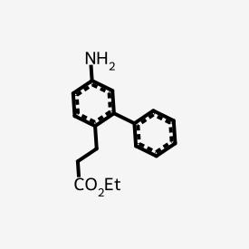 CCOC(=O)CCc1ccc(N)cc1-c1ccccc1